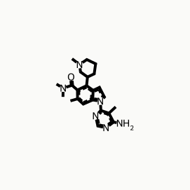 Cc1cc2c(ccn2-c2ncnc(N)c2C)c(C2CCCN(C)C2)c1C(=O)N(C)C